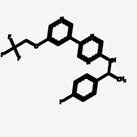 CC(Nc1cnc(-c2cncc(OCC(F)(F)F)c2)cn1)c1ccc(F)cc1